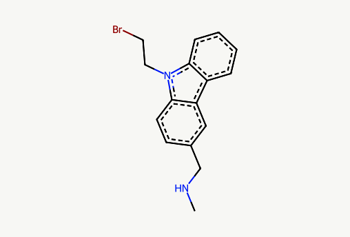 CNCc1ccc2c(c1)c1ccccc1n2CCBr